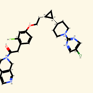 O=C(Cc1ccc(OCC[C@@H]2C[C@@H]2C2CCN(c3ncc(Cl)cn3)CC2)cc1F)N1CCc2ccncc2C1